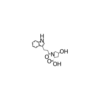 O=C(O)[C@H]1C[C@H](O)CN1C(=O)CCc1c[nH]c2ccccc12